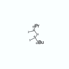 [CH2]C(C)C(C)CC(C)C(C)CC